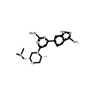 CNc1nc(-c2ccc3c(N)n[nH]c3c2)cc(N2C[C@@H](CN(C)C)OC[C@H]2C)n1